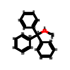 [Ti][O][Si](c1ccccc1)(c1ccccc1)c1ccccc1